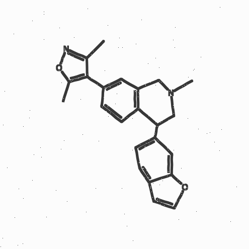 Cc1noc(C)c1-c1ccc2c(c1)CN(C)CC2c1ccc2ccoc2c1